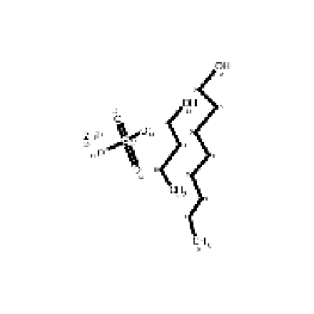 CCCCCCCCO.CCCCO.O=S(=O)([O-])[O-].[Zn+2]